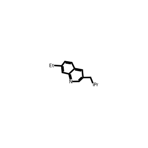 CCc1ccc2cc(CC(C)C)cnc2c1